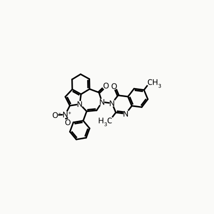 Cc1ccc2nc(C)n(N3C=C(c4ccccc4)n4c([N+](=O)[O-])cc5c4C(=CCC5)C3=O)c(=O)c2c1